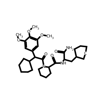 COc1cc(C(C(=O)N2CCCCC2C(=O)NC(CC2CCCCC2)C(N)=O)C2CCCCC2)cc(OC)c1OC